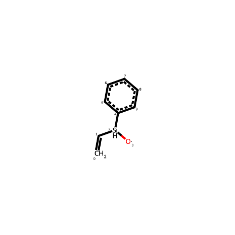 C=C[SiH]([O])c1ccccc1